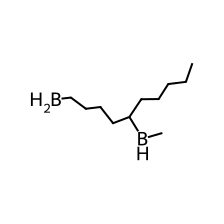 BCCCCC(BC)CCCCC